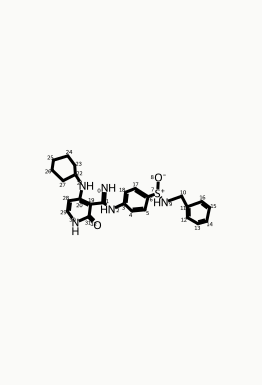 N=C(Nc1ccc([S+]([O-])NCc2ccccc2)cc1)c1c(NC2CCCCC2)cc[nH]c1=O